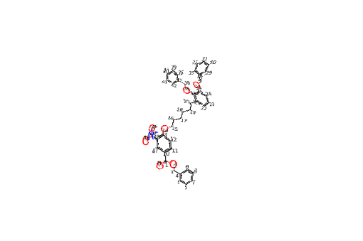 O=C(OCc1ccccc1)c1ccc(OCCCCCCc2cccc(OCc3ccccc3)c2OCc2ccccc2)c([N+](=O)[O-])c1